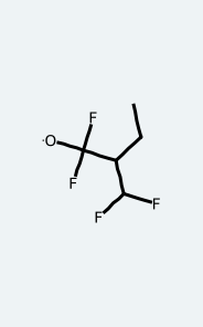 CCC(C(F)F)C([O])(F)F